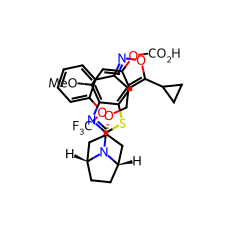 COc1cc(OC(=O)O)cc2sc(N3[C@@H]4CC[C@H]3C[C@@H](OCc3c(-c5ccccc5OC(F)(F)F)noc3C3CC3)C4)nc12